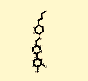 CCC=C[C@H]1CC[C@H](CCc2cnc(-c3ccc(F)c(Cl)c3)nc2)CC1